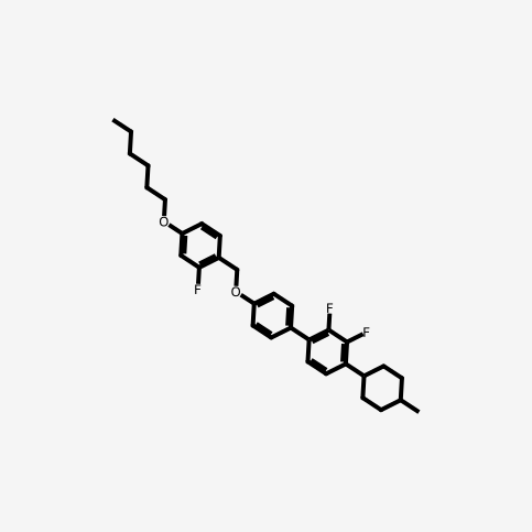 CCCCCCOc1ccc(COc2ccc(-c3ccc(C4CCC(C)CC4)c(F)c3F)cc2)c(F)c1